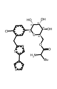 CCC(C)C(N)C(=O)OC[C@H]1O[C@@H](c2ccc(Cl)c(Cc3ncc(-c4ccsc4)s3)c2)[C@H](O)[C@H](O)[C@H]1O